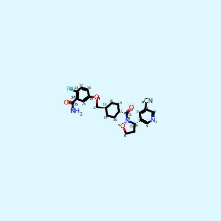 N#Cc1cncc([C@@H]2CCON2C(=O)[C@H]2CC[C@H](COc3ccc(F)c(C(N)=O)c3)CC2)c1